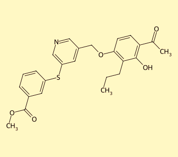 CCCc1c(OCc2cncc(Sc3cccc(C(=O)OC)c3)c2)ccc(C(C)=O)c1O